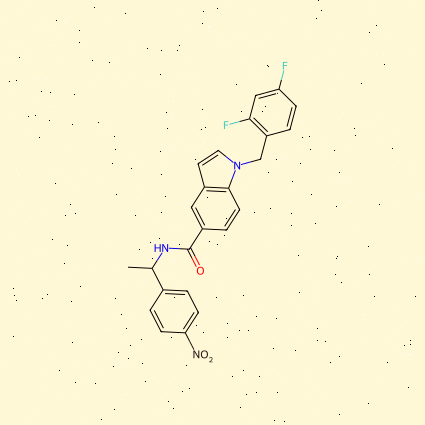 CC(NC(=O)c1ccc2c(ccn2Cc2ccc(F)cc2F)c1)c1ccc([N+](=O)[O-])cc1